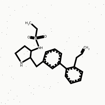 C=CCc1ccccc1-c1cccc(CC2NCCC2NS(=O)(=O)CC)c1